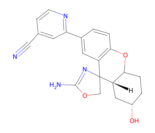 N#Cc1ccnc(-c2ccc3c(c2)C2(COC(N)=N2)[C@H]2C[C@@H](O)CCC2O3)c1